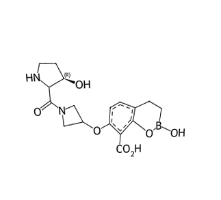 O=C(O)c1c(OC2CN(C(=O)C3NCC[C@H]3O)C2)ccc2c1OB(O)CC2